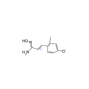 Cc1cc(Cl)ccc1/C=C/C(N)=NO